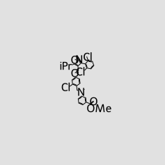 COC(=O)c1cccc(N(C)Cc2ccc(OCc3c(-c4c(Cl)cccc4Cl)noc3C(C)C)cc2Cl)c1